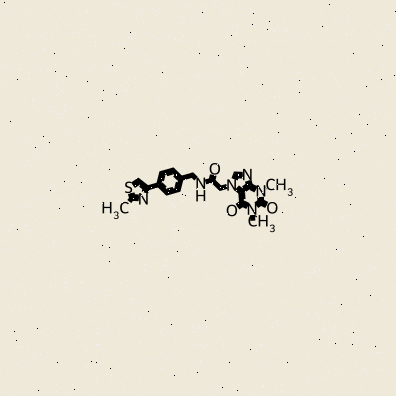 Cc1nc(-c2ccc(CNC(=O)Cn3cnc4c3c(=O)n(C)c(=O)n4C)cc2)cs1